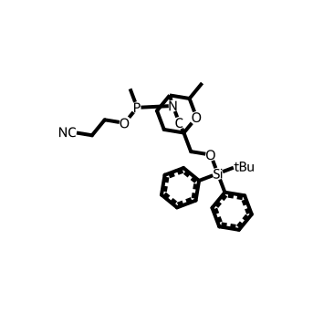 CC1OC2(CO[Si](c3ccccc3)(c3ccccc3)C(C)(C)C)CCC1N(P(C)OCCC#N)C2